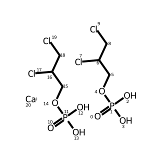 O=P(O)(O)OCC(Cl)CCl.O=P(O)(O)OCC(Cl)CCl.[Ca]